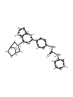 O=C(Nc1ccc(-c2nc(N3CC4CCC(C3)O4)c3sccc3n2)cc1)Nc1cccnc1